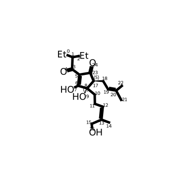 CCC(CC)C(=O)C1=C(O)[C@](O)(CCC=C(C)CO)[C@H](CC=C(C)C)C1=O